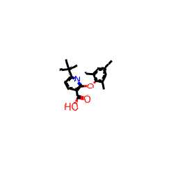 Cc1cc(C)c(Oc2nc(C(C)(C)C)ccc2C(=O)O)c(C)c1